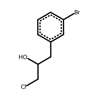 OC(CCl)Cc1cccc(Br)c1